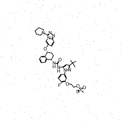 CC(C)(C)c1cc(NC(=O)N[C@H]2CC[C@@H](Oc3ccc4nnc(N5CCCCC5)n4c3)c3ccccc32)n(-c2ccc(F)c(OCCOS(C)(=O)=O)c2)n1